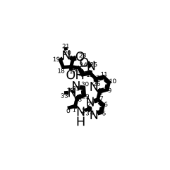 CC(Nc1nccc(-c2cccc(-c3cc(C4(O)CCN(C)C4=O)on3)n2)n1)c1ccnn1C